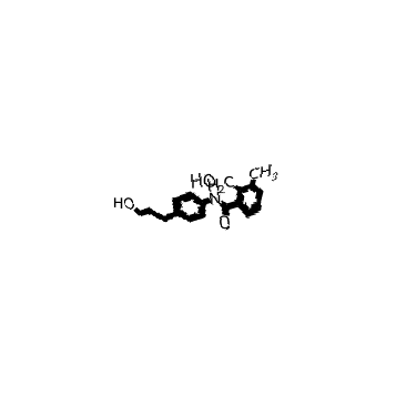 Cc1cccc(C(=O)Nc2ccc(CCCO)cc2)c1C(=O)O